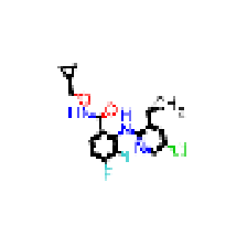 C=Cc1cc(Cl)cnc1Nc1c(C(=O)NOCC2CC2)ccc(F)c1F